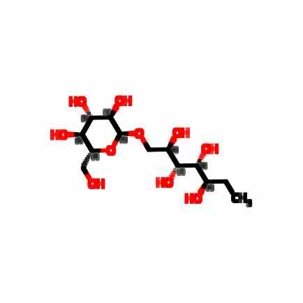 CC[C@@H](O)[C@@H](O)[C@H](O)[C@H](O)CO[C@H]1O[C@H](CO)[C@@H](O)[C@H](O)[C@H]1O